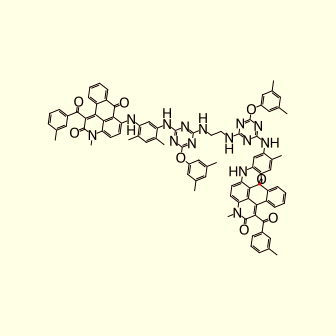 Cc1cc(C)cc(Oc2nc(NCCNc3nc(Nc4cc(Nc5ccc6c7c5C(=O)c5ccccc5-c7c(C(=O)c5cccc(C)c5)c(=O)n6C)c(C)cc4C)nc(Oc4cc(C)cc(C)c4)n3)nc(Nc3cc(Nc4ccc5c6c4C(=O)c4ccccc4-c6c(C(=O)c4cccc(C)c4)c(=O)n5C)c(C)cc3C)n2)c1